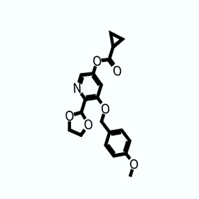 COc1ccc(COc2cc(OC(=O)C3CC3)cnc2C2OCCO2)cc1